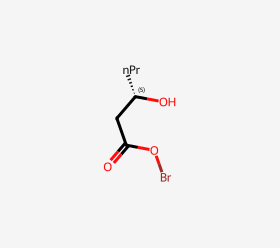 CCC[C@H](O)CC(=O)OBr